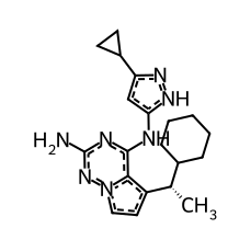 C[C@H](c1ccn2nc(N)nc(Nc3cc(C4CC4)n[nH]3)c12)C1CCCCC1